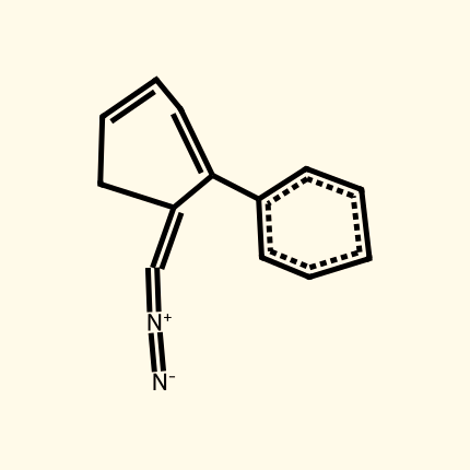 [N-]=[N+]=C=C1CC=CC=C1c1ccccc1